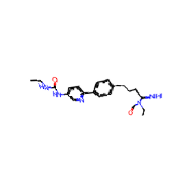 CCNC(=O)Nc1ccc(-c2ccc(CCCC(=N)N(C=O)CC)cc2)nc1